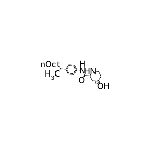 CCCCCCCCC(C)c1ccc(NC(=O)C2C[C@@H](O)CCN2)cc1